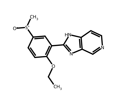 CCOc1ccc([S+](C)[O-])cc1-c1nc2cnccc2[nH]1